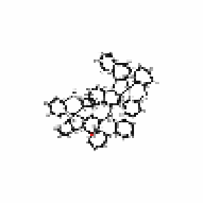 c1ccc(-c2ccccc2N(c2ccc3c(c2)C2(c4ccccc4Oc4ccccc42)c2ccccc2-3)c2cc3c(c4ccccc24)-c2c(ccc4ccccc24)C32c3ccccc3Oc3ccccc32)cc1